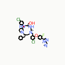 C[C@H]1CN[C@H](CO)CN[C@@]2(Cc3ccc(Cl)cc3)CCCN(C[C@H](Cc3ccccc3)CCN1Cc1ccc(Cl)cc1Oc1ccc(-c3cnc(CN(C)C)n3C)c(F)c1)C2